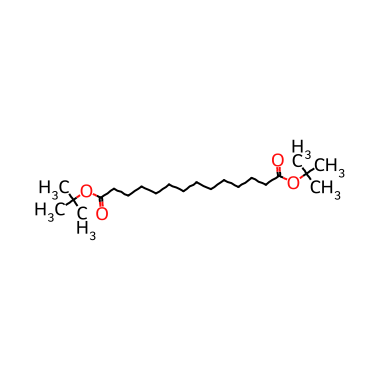 CC(C)(C)OC(=O)CCCCCCCCCCCCC(=O)OC(C)(C)C